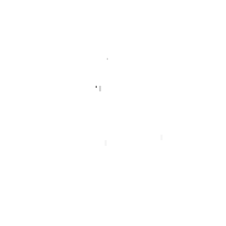 CC(C)(c1ccc(O)cc1)c1cccc(NC(=O)Oc2ccccc2)c1